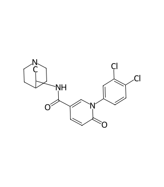 O=C(NC1CN2CCC1CC2)c1ccc(=O)n(-c2ccc(Cl)c(Cl)c2)c1